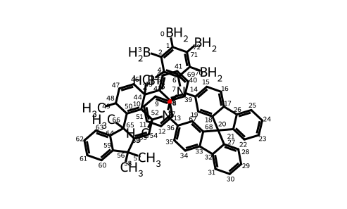 Bc1c(B)c(B)c(N(c2ccccc2)c2ccc3c(c2)C2(c4ccccc4-3)c3ccccc3-c3ccc(N4c5ccccc5C5(C)C=CC(C)C6=C5C4(C)C=C4C(C)(C)c5ccccc5C46C)cc32)c(B)c1B